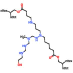 CCCCCCCCC(CCCCCC)COC(=O)CCCCCN(CCCNCCCC(=O)OCC(CCCCCC)CCCCCCCC)NCN(C)CNCNCCO